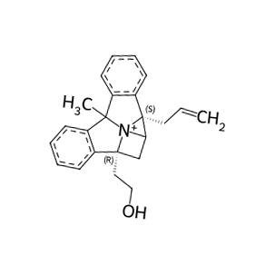 C=CC[C@]12c3ccccc3C3(C)c4ccccc4[C@]4(CCO)CC1[N+]342